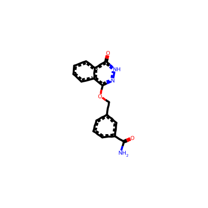 NC(=O)c1cccc(COc2n[nH]c(=O)c3ccccc23)c1